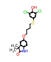 CC1(C)C(=O)Nc2ccc(OCCCCSc3cc(Cl)c(O)c(Cl)c3)cc21